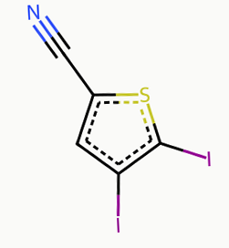 N#Cc1cc(I)c(I)s1